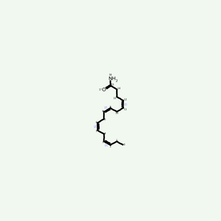 CC/C=C\C/C=C\C/C=C\C/C=C\CCC(N)=O